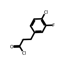 O=C(Cl)[CH]Cc1ccc(Cl)c(F)c1